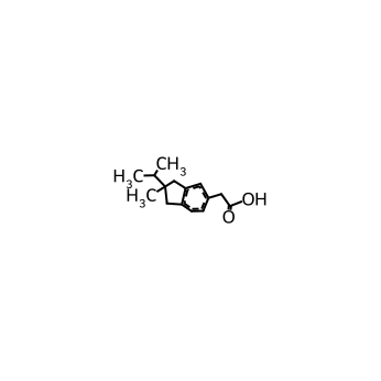 CC(C)C1(C)Cc2ccc(CC(=O)O)cc2C1